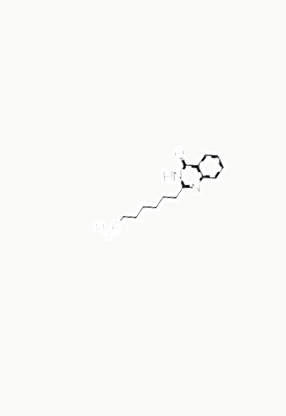 CCCCCCCc1nc2ccccc2c(=O)[nH]1